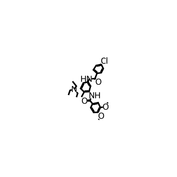 CCN(CC)CC.COc1ccc(C(=O)Nc2cc(NC(=O)c3ccc(Cl)cc3)ccc2C)cc1OC